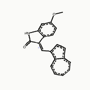 COc1ccc2c(c1)NC(=O)/C2=C/c1ccc2cccccc1-2